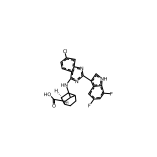 O=C(O)[C@@H]1C2CCC(CC2)C1Nc1nc(-c2c[nH]c3c(F)cc(F)cc23)nc2cc(Cl)ccc12